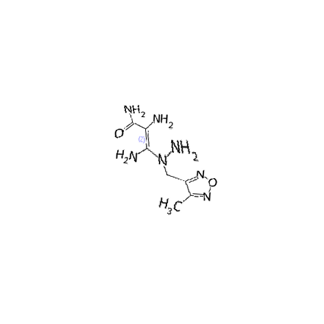 Cc1nonc1CN(N)/C(N)=C(\N)C(N)=O